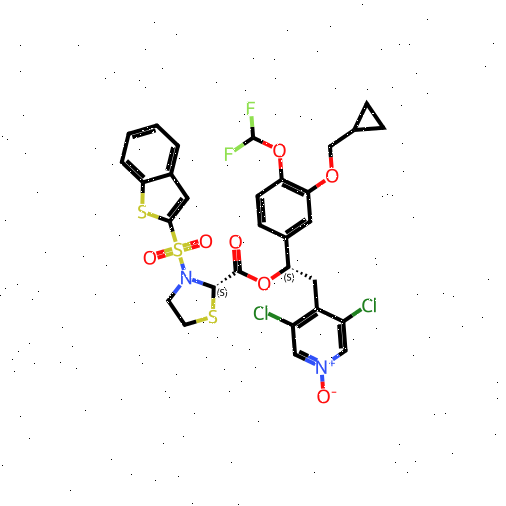 O=C(O[C@@H](Cc1c(Cl)c[n+]([O-])cc1Cl)c1ccc(OC(F)F)c(OCC2CC2)c1)[C@@H]1SCCN1S(=O)(=O)c1cc2ccccc2s1